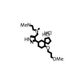 CNCCN(C)Cc1c[nH]nc1C1CCC(OCCCOC)C2(CCCC2)C1.Cl.Cl